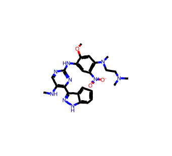 CNc1cnc(Nc2cc([N+](=O)[O-])c(N(C)CCN(C)C)cc2OC)nc1-c1n[nH]c2ccccc12